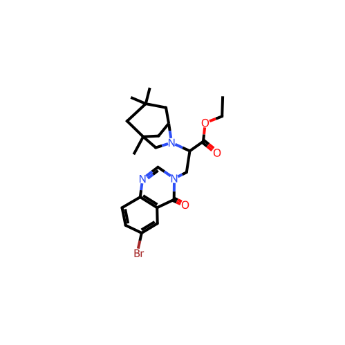 CCOC(=O)C(Cn1cnc2ccc(Br)cc2c1=O)N1CC2(C)CC1CC(C)(C)C2